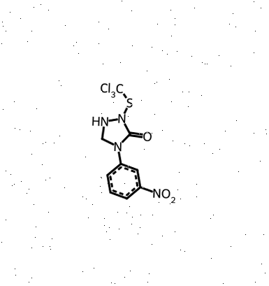 O=C1N(SC(Cl)(Cl)Cl)NCN1c1cccc([N+](=O)[O-])c1